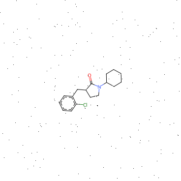 O=C1C(Cc2ccccc2Cl)CCN1C1CCCCC1